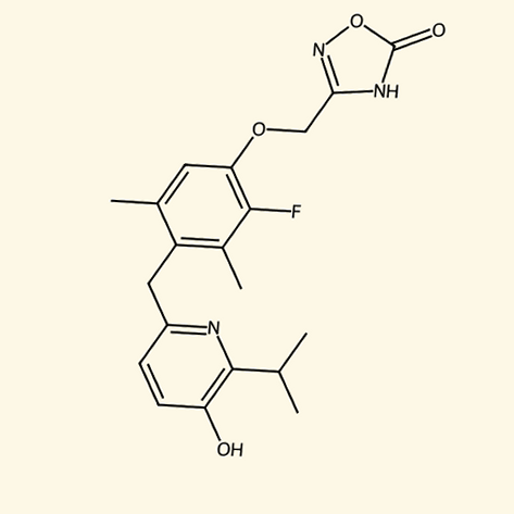 Cc1cc(OCc2noc(=O)[nH]2)c(F)c(C)c1Cc1ccc(O)c(C(C)C)n1